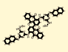 CCCCNc1nc(Nc2ccc(-c3ccc(Nc4nc(NCCCC)nc(Sc5ccc6ccccc6c5)n4)c4c3C(=O)c3ccccc3C4=O)c3c2C(=O)c2ccccc2C3=O)nc(Sc2ccc3ccccc3c2)n1